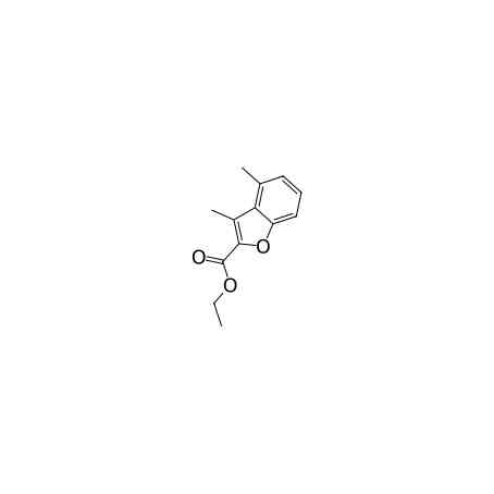 CCOC(=O)c1oc2cccc(C)c2c1C